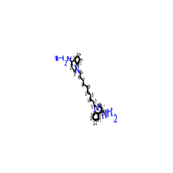 NC1=CCN(CCCCCCCCCC[n+]2ccc(N)c3ccccc32)c2ccccc21